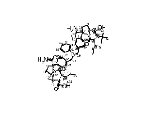 CC[C@H](C)[C@@H](C(=O)N1CCC[C@@]1(C(N)=O)c1ccc(CN(Cc2ccc([C@]3(C(N)=O)CCCN3C(=O)[C@H]([C@@H](C)CC)N(C(=O)O)C(C)(C)C)cc2)c2ccccc2)cc1)N(C(=O)O)C(C)(C)C